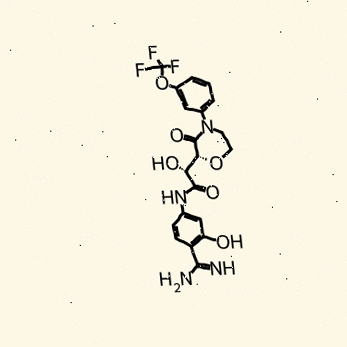 N=C(N)c1ccc(NC(=O)[C@H](O)[C@H]2OCCN(c3cccc(OC(F)(F)F)c3)C2=O)cc1O